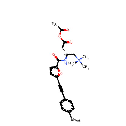 CCCCCc1ccc(C#Cc2ccc(C(=O)N[C@H](CC(=O)OC(=O)C(F)(F)F)C[N+](C)(C)C)o2)cc1